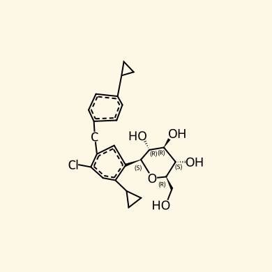 OC[C@H]1O[C@@H](c2cc(Cc3ccc(C4CC4)cc3)c(Cl)cc2C2CC2)[C@H](O)[C@@H](O)[C@@H]1O